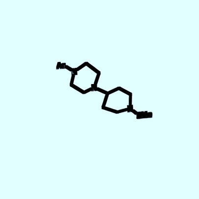 CSN1CCC(N2CCN(C(C)=O)CC2)CC1